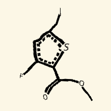 COC(=O)c1sc(I)cc1F